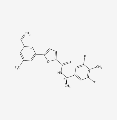 C=Cc1cc(-c2ccc(C(=O)N[C@H](C)c3cc(F)c(C)c(F)c3)o2)cc(C(F)(F)F)c1